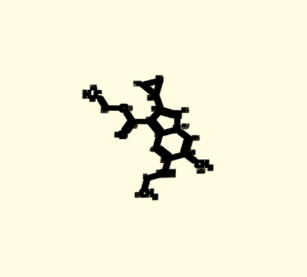 CCNc1cc2c(C(=O)OCC)c(C3CC3)nn2cc1C